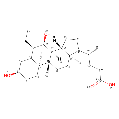 CC[C@@H]1C2C[C@H](O)CC[C@]2(C)[C@H]2CC[C@]3(C)C([C@H](C)CCC(=O)O)CC[C@H]3[C@@H]2[C@@H]1O